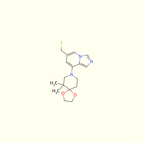 CC1(C)CN(c2cc(CF)cn3cncc23)CCC12OCCO2